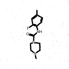 Cc1ccc(NC(=O)N2CCN(C)CC2)c(F)c1